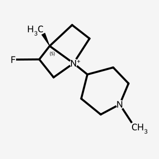 CN1CCC([N+]23CC[C@@]2(C)C(F)C3)CC1